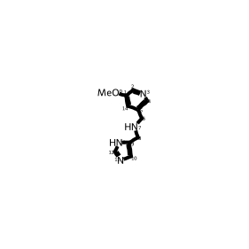 COc1cncc(CNCc2cnc[nH]2)c1